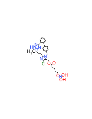 CCCCc1nc(Cl)c(COC(=O)CCCCON(O)O)n1Cc1ccc(-c2ccccc2-c2nn[nH]n2)cc1